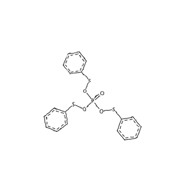 O=P(OSc1ccccc1)(OSc1ccccc1)OSc1ccccc1